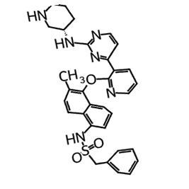 Cc1ccc2c(NS(=O)(=O)Cc3ccccc3)cccc2c1Oc1ncccc1-c1ccnc(N[C@H]2CCCNC2)n1